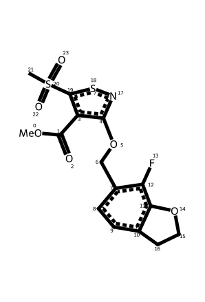 COC(=O)c1c(OCc2ccc3c(c2F)OCC3)nsc1S(C)(=O)=O